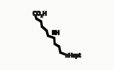 CCCCCCCCCCCCCCCCC(=O)O.[KH]